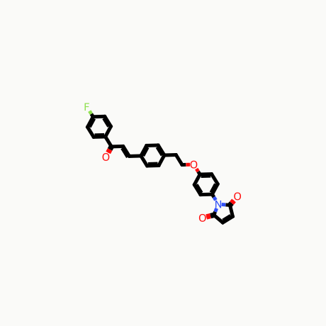 O=C(/C=C/c1ccc(CCOc2ccc(N3C(=O)C=CC3=O)cc2)cc1)c1ccc(F)cc1